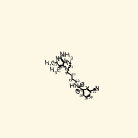 Cc1nc(N)c2ncn(CCCCNS(=O)(=O)c3cccc(C#N)c3)c2c1C